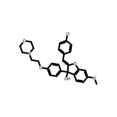 COc1ccc2c(c1)O/C(=C\c1ccc(Cl)cc1)C2(O)c1ccc(OCCN2CCOCC2)cc1